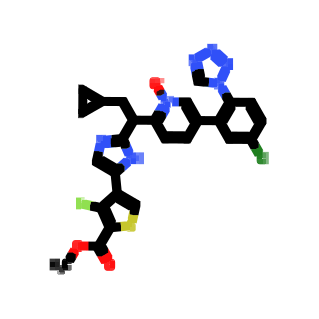 COC(=O)c1scc(-c2cnc(C(CC3CC3)c3ccc(-c4cc(Cl)ccc4-n4cnnn4)c[n+]3[O-])[nH]2)c1F